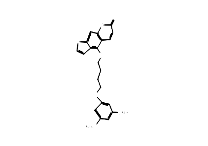 COc1cc(OC)cc(OCCCCOc2c3ccoc3cc3oc(=O)ccc23)c1